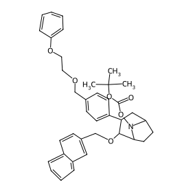 CC(C)(C)OC(=O)ON1C2CCC1C(OCc1ccc3ccccc3c1)C(c1ccc(COCCOc3ccccc3)cc1)C2